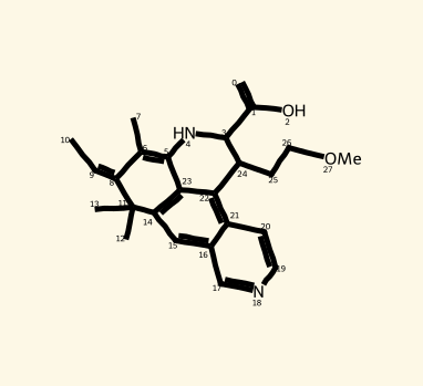 C=C(O)C1NC2=C(C)/C(=C\C)C(C)(C)c3cc4cnccc4c(c32)C1CCOC